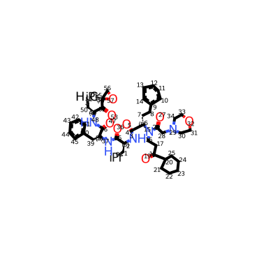 CC(C)C[C@H](NC(=O)[C@H](CCc1ccccc1)N(CCC(=O)C1CCCCC1)C(=O)CN1CCOCC1)C(=O)N[C@@H](Cc1ccccc1)C(=O)N[C@@H](CC(C)C)C(=O)[C@@]1(C)CO1